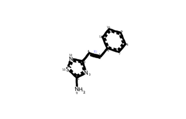 Nc1nc(/C=C/c2ccccc2)ns1